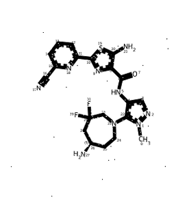 Cn1ncc(NC(=O)c2nc(-c3cccc(C#N)n3)sc2N)c1N1CC[C@@H](N)CC(F)(F)C1